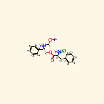 O=C(OC[C@@H](NCOI)c1ccccc1)[C@H](Cc1ccccc1)NCl